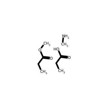 CCC(=O)O.CCC(=O)OC.CN